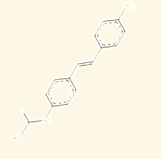 CCCCC(CC)Nc1ccc(/C=C/c2ccc([N+](=O)[O-])cc2)cc1